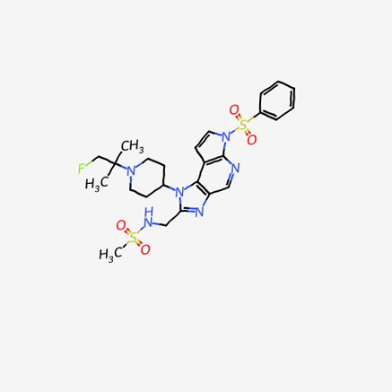 CC(C)(CF)N1CCC(n2c(CNS(C)(=O)=O)nc3cnc4c(ccn4S(=O)(=O)c4ccccc4)c32)CC1